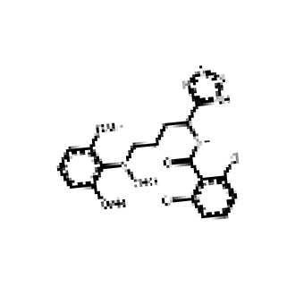 COc1cccc(OC)c1N(C=O)CCCC(NC(=O)c1c(Cl)cccc1Cl)c1nnn[nH]1